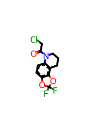 O=C(CCl)N1CCCc2c1ccc1c2OC(F)(F)O1